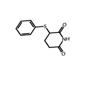 O=C1CCC(Sc2ccccc2)C(=O)N1